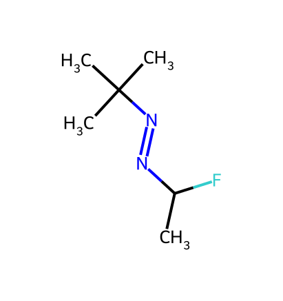 CC(F)/N=N/C(C)(C)C